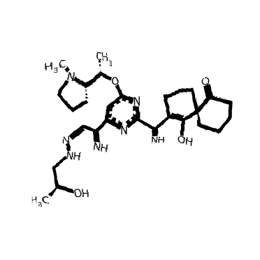 C[C@H](O)CN/N=C\C(=N)c1cc(O[C@@H](C)[C@@H]2CCCN2C)nc(C(=N)C2=C(O)[C@]3(CCCCC3=O)CCC2)n1